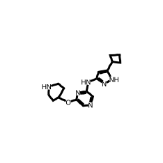 c1ncc(OC2CCNCC2)nc1Nc1cc(C2CCC2)[nH]n1